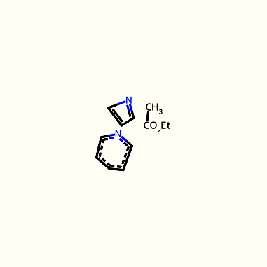 C1=CN=C1.CCOC(C)=O.c1ccncc1